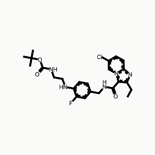 CCc1nc2ccc(Cl)cn2c1C(=O)NCc1ccc(NCCNC(=O)OC(C)(C)C)c(F)c1